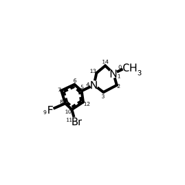 CN1CCN(c2ccc(F)c(Br)c2)CC1